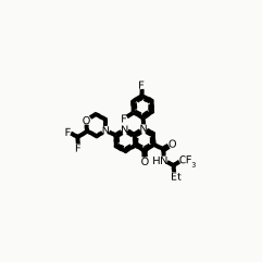 CCC(NC(=O)c1cn(-c2ccc(F)cc2F)c2nc(N3CCOC(C(F)F)C3)ccc2c1=O)C(F)(F)F